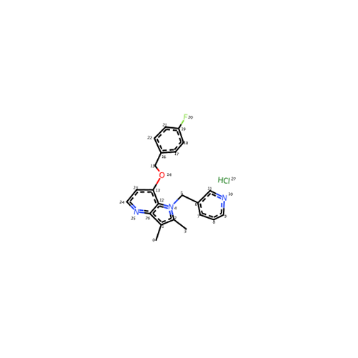 Cc1c(C)n(Cc2cccnc2)c2c(OCc3ccc(F)cc3)ccnc12.Cl